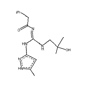 Cc1cc(N/C(=N\C(=O)CC(C)C)NCC(C)(C)O)n[nH]1